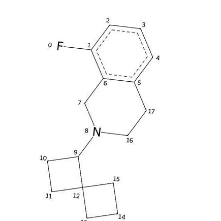 Fc1cccc2c1CN(C1CCC13CCC3)CC2